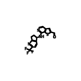 O=Cc1cc2ccnc(N[C@@H]3CCc4nc(C(F)(F)F)ccc43)c2s1